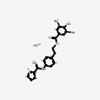 CC(C)(C)c1cc(C(=O)OCCc2ccc(NC(=N)c3cccs3)cc2)cc(C(C)(C)C)c1O.Cl